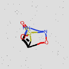 O=S1(=O)C2=CNN1O2